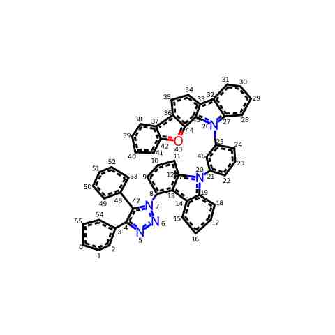 c1ccc(-c2nnn(-c3cccc4c3c3ccccc3n4-c3cccc(-n4c5ccccc5c5ccc6c7ccccc7oc6c54)c3)c2-c2ccccc2)cc1